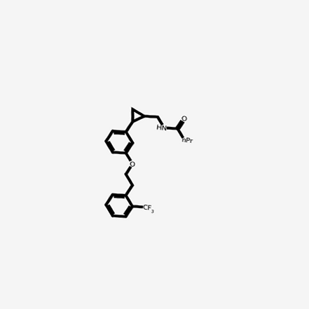 CCCC(=O)NCC1CC1c1cccc(OCCc2ccccc2C(F)(F)F)c1